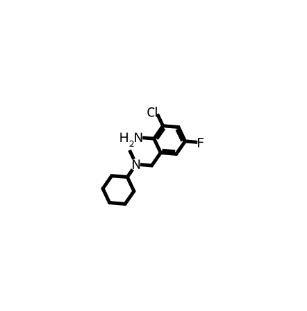 CN(Cc1cc(F)cc(Cl)c1N)C1CCCCC1